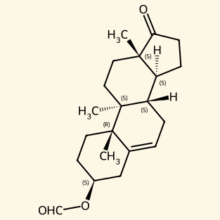 C[C@]12CC[C@H](OC=O)CC1=CC[C@H]1[C@@H]3CCC(=O)[C@@]3(C)CC[C@@]12C